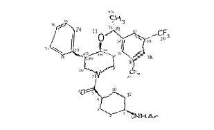 CC(=O)N[C@H]1CC[C@@H](C(=O)N2CC[C@H](O[C@H](C)c3cc(C(F)(F)F)cc(C(F)(F)F)c3)[C@H](c3ccccc3)C2)CC1